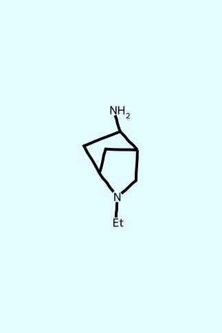 CCN1CC2CC1CC2N